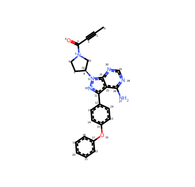 CC#CC(=O)N1CC[C@H](n2nc(-c3ccc(Oc4ccccc4)cc3)c3c(N)ncnc32)C1